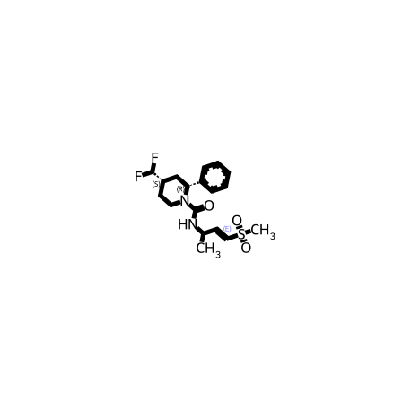 CC(/C=C/S(C)(=O)=O)NC(=O)N1CC[C@H](C(F)F)C[C@@H]1c1ccccc1